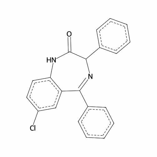 O=C1Nc2ccc(Cl)cc2C(c2ccccc2)=NC1c1ccccc1